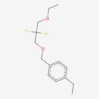 CCOCC(F)(F)COCc1ccc(CC)cc1